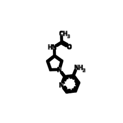 CC(=O)NC1CCN(c2ncccc2N)C1